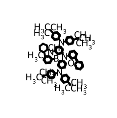 CC(C)(C)c1ccc(N(c2ccc(C(C)(C)C)cc2)c2ccc3c(c2)B2c4cccc5c4N(c4cc(N(c6ccc(C(C)(C)C)cc6)c6ccc(C(C)(C)C)cc6)cc(c42)N3c2cccc3c2oc2ccccc23)C2(C)CCCCC52C)cc1